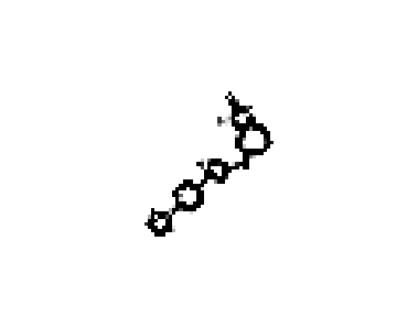 O=c1[nH]c2c(o1)=CCC=C(Nc1cc(-c3ccc(-n4cccn4)cc3)[nH]n1)C=2